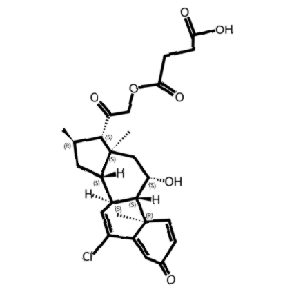 C[C@@H]1C[C@H]2[C@@H]3C=C(Cl)C4=CC(=O)C=C[C@]4(C)[C@H]3[C@@H](O)C[C@]2(C)[C@H]1C(=O)COC(=O)CCC(=O)O